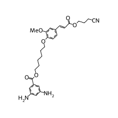 COc1cc(/C=C/C(=O)OCCCC#N)ccc1OCCCCCCOC(=O)c1cc(N)cc(N)c1